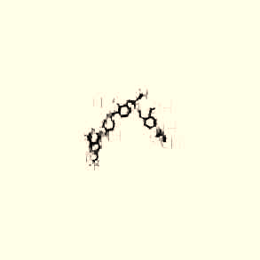 C=CC(=O)Nc1ccc(CCn2c(C#N)cc3c(C)c(CN4CCC(Nc5ncnc6sc(CC(F)(F)F)cc56)CC4)ccc32)c(CO)c1